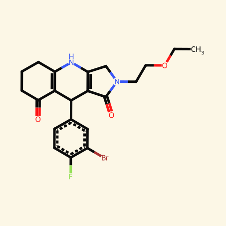 CCOCCN1CC2=C(C1=O)C(c1ccc(F)c(Br)c1)C1=C(CCCC1=O)N2